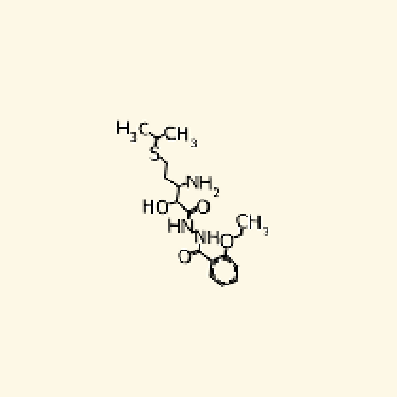 CCOc1ccccc1C(=O)NNC(=O)C(O)[C@H](N)CCSC(C)C